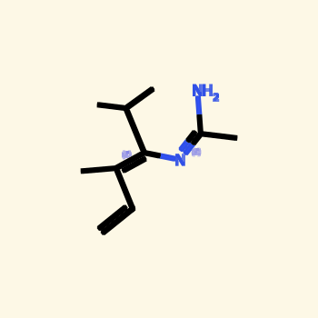 C=C/C(C)=C(\N=C(\C)N)C(C)C